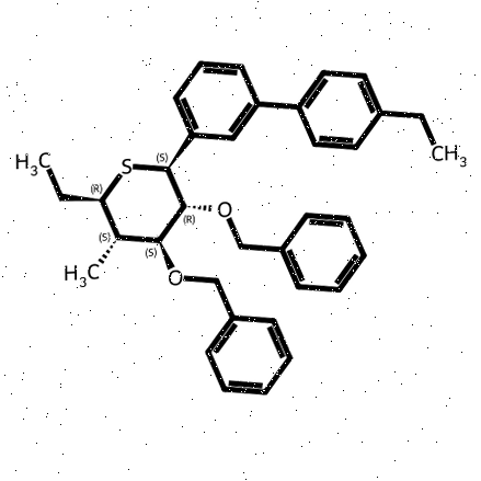 CCc1ccc(-c2cccc([C@@H]3S[C@H](CC)[C@@H](C)[C@H](OCc4ccccc4)[C@H]3OCc3ccccc3)c2)cc1